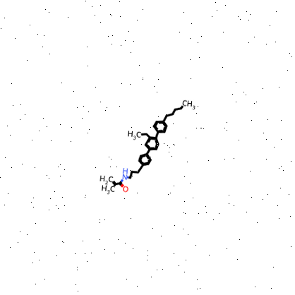 C=C(C)C(=O)NCCCc1ccc(-c2ccc(-c3ccc(CCCCC)cc3)c(CC)c2)cc1